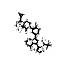 CC(n1nccc1-c1cc(-c2ccc(F)c(N3CCN(C(=O)C4CC4)C(C)(C)C3=O)c2)n2ncnc(N)c12)C(F)(F)F